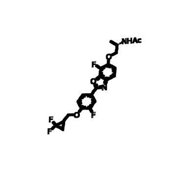 CC(=O)N[C@@H](C)COc1ccc2nc(-c3ccc(OCC4CC4(F)F)c(F)c3)oc2c1F